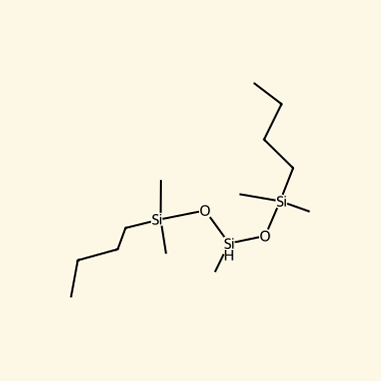 CCCC[Si](C)(C)O[SiH](C)O[Si](C)(C)CCCC